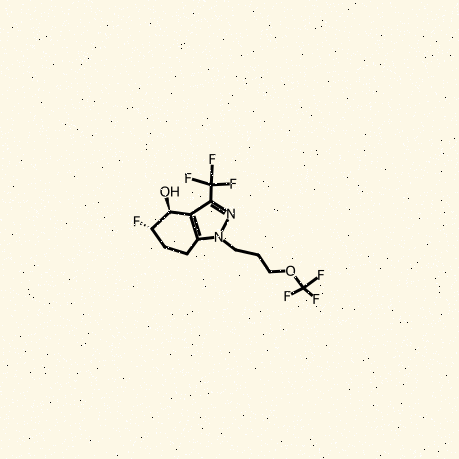 O[C@H]1c2c(C(F)(F)F)nn(CCCOC(F)(F)F)c2CC[C@@H]1F